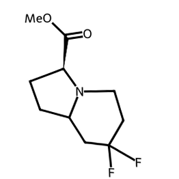 COC(=O)[C@@H]1CCC2CC(F)(F)CCN21